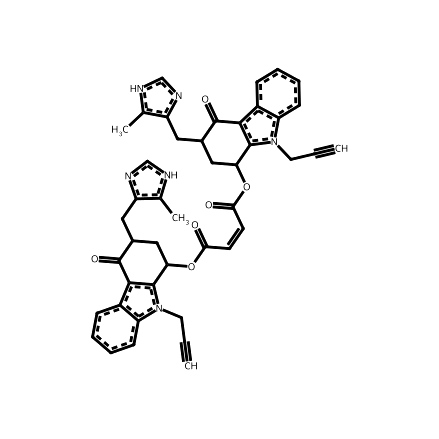 C#CCn1c2c(c3ccccc31)C(=O)C(Cc1nc[nH]c1C)CC2OC(=O)/C=C\C(=O)OC1CC(Cc2nc[nH]c2C)C(=O)c2c1n(CC#C)c1ccccc21